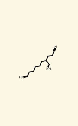 N#CCCC(C=N)CCCCCC=N